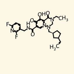 C=CC1CC[C@H](CN2CN(CC)C(=O)c3c(O)c(=O)c(C(=O)NCc4ccc(F)nc4F)cn32)C1